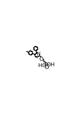 Cc1ccc(-c2ccc(COCCCP(=O)(O)O)nc2-c2ccccc2)cc1